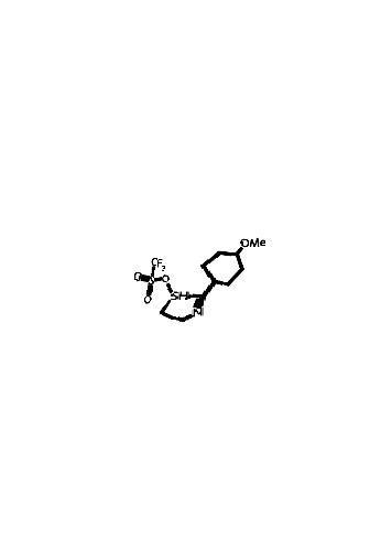 COC1CCC(C2=NCC[SH]2OS(=O)(=O)C(F)(F)F)CC1